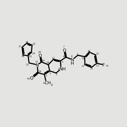 CC1=C2CNC(C(=O)NCc3ccc(F)cc3)=CC2C(=O)N(Cc2ccccc2)C1=O